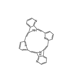 c1cc2cc3[nH]c(cc4cccc(cc5[nH]c(cc(c1)n2)c1ncccc51)n4)c1ncccc31